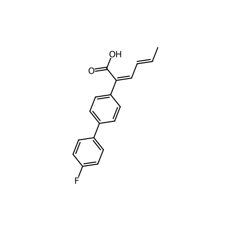 CC=CC=C(C(=O)O)c1ccc(-c2ccc(F)cc2)cc1